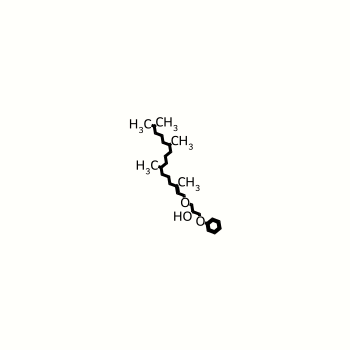 C/C(=C\COCC(O)COc1ccccc1)CCCC(C)CCCC(C)CCCC(C)C